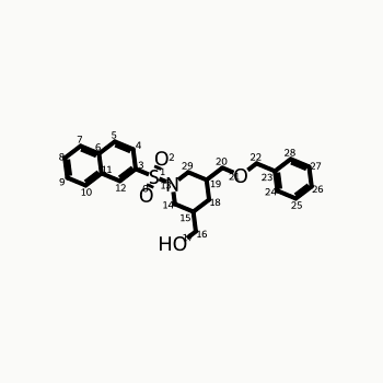 O=S(=O)(c1ccc2ccccc2c1)N1CC(CO)CC(COCc2ccccc2)C1